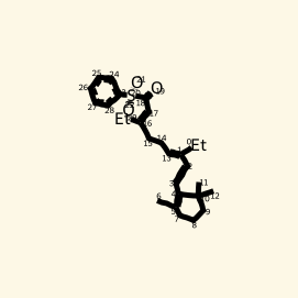 CCC(C=CC1=C(C)CCCC1(C)C)=CCCC(=CC(=O)S(=O)(=O)c1ccccc1)CC